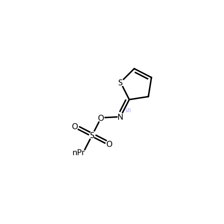 CCCS(=O)(=O)O/N=C1/CC=CS1